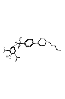 CCCCCC1CCC(c2ccc(C(F)(F)Oc3cc(C(C)C)c(O)c(C(C)C)c3)cc2)CC1